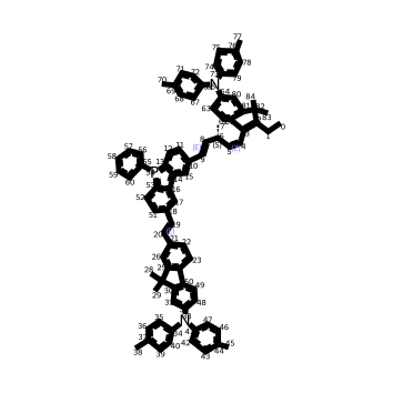 CCC1=C(/C=C\[C@@H](C)/C=C/c2ccc3c(c2)c2cc(/C=C/c4ccc5c(c4)C(C)(C)c4cc(N(c6ccc(C)cc6)c6ccc(C)cc6)ccc4-5)ccc2p3-c2ccccc2)c2ccc(N(c3ccc(C)cc3)c3ccc(C)cc3)cc2C1(C)C